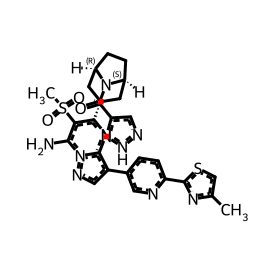 Cc1csc(-c2ccc(-c3cnn4c(N)c(S(C)(=O)=O)c([C@@H]5C[C@H]6CC[C@@H](C5)N6C(=O)c5cn[nH]n5)nc34)cn2)n1